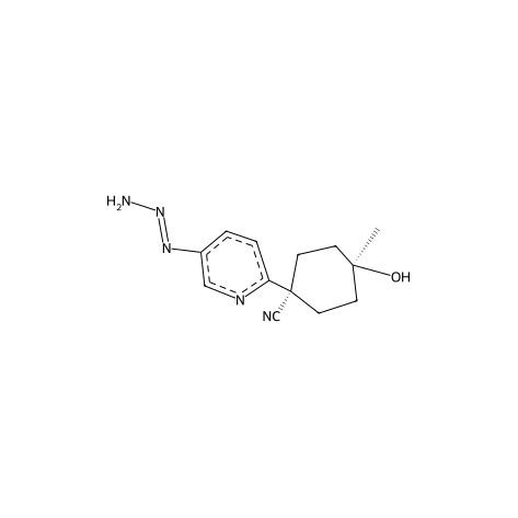 C[C@]1(O)CC[C@@](C#N)(c2ccc(N=NN)cn2)CC1